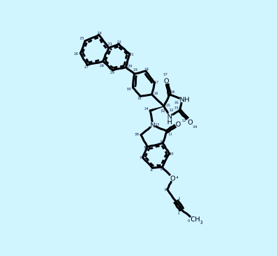 CC#CCOc1ccc2c(c1)C(=O)N(C[C@]1(C3C=CC(c4ccc5ccccc5c4)=CC3)NC(=O)NC1=O)C2